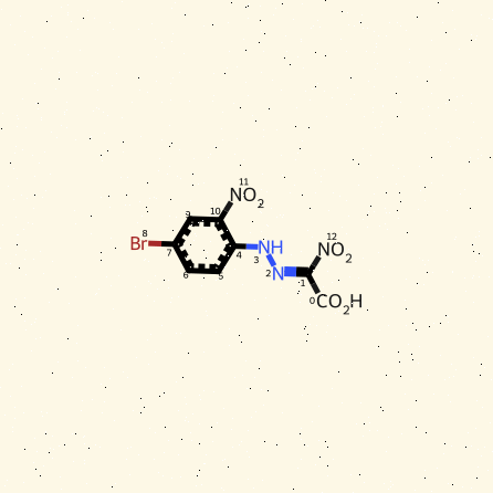 O=C(O)C(=NNc1ccc(Br)cc1[N+](=O)[O-])[N+](=O)[O-]